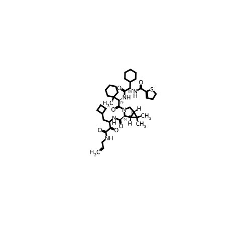 C=CCNC(=O)C(=O)C(CC1CCC1)NC(=O)[C@@H]1[C@@H]2[C@H](CN1C(=O)[C@@H](NC(=O)[C@@H](NC(=O)C1=CCCS1)C1CCCCC1)C1(C)CCCCC1)C2(C)C